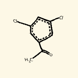 CC(=O)c1[c]c(Cl)cc(Cl)c1